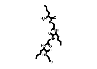 CCCCC(N)C(=O)NCC(=O)NC(CCCC)C(=O)NCC(=O)NC(CCCC)C(=O)NCC=O